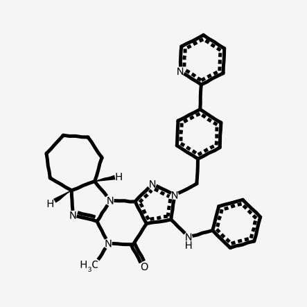 CN1C(=O)c2c(nn(Cc3ccc(-c4ccccn4)cc3)c2Nc2ccccc2)N2C1=N[C@@H]1CCCCC[C@@H]12